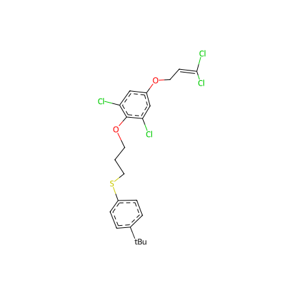 CC(C)(C)c1ccc(SCCCOc2c(Cl)cc(OCC=C(Cl)Cl)cc2Cl)cc1